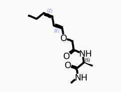 CC/C=C\C=C\OCC(=O)N[C@@H](C)C(=O)NC